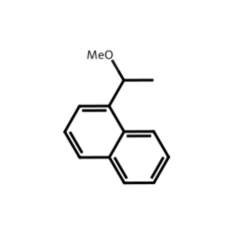 COC(C)c1cccc2ccccc12